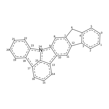 c1ccc2c(c1)Cc1cc3c(cc1-2)c1cccc2c4ccccc4n3c21